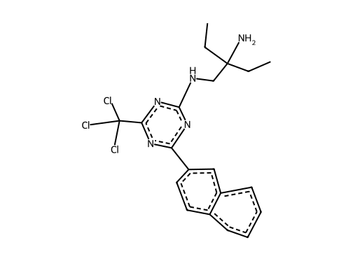 CCC(N)(CC)CNc1nc(-c2ccc3ccccc3c2)nc(C(Cl)(Cl)Cl)n1